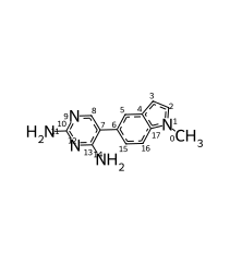 Cn1ccc2cc(-c3cnc(N)nc3N)ccc21